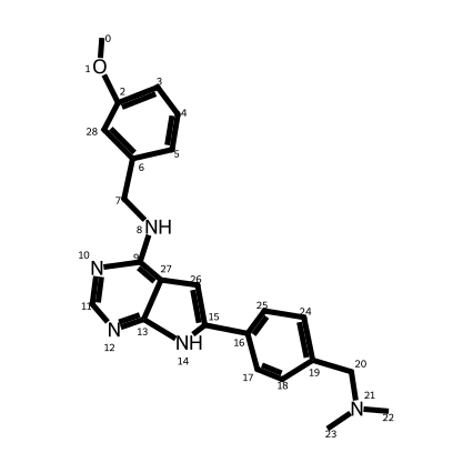 COc1cccc(CNc2ncnc3[nH]c(-c4ccc(CN(C)C)cc4)cc23)c1